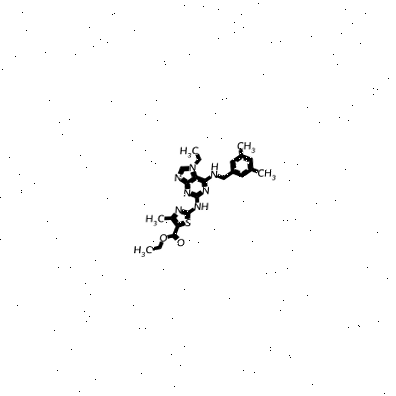 CCOC(=O)c1sc(Nc2nc(NCc3cc(C)cc(C)c3)c3c(ncn3CC)n2)nc1C